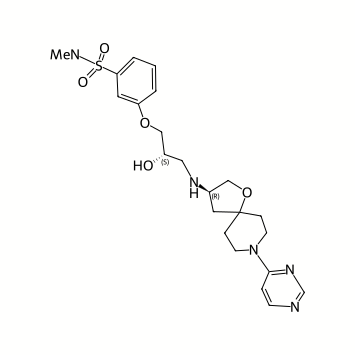 CNS(=O)(=O)c1cccc(OC[C@@H](O)CN[C@H]2COC3(CCN(c4ccncn4)CC3)C2)c1